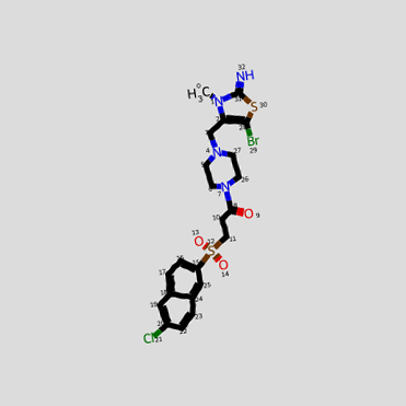 Cn1c(CN2CCN(C(=O)CCS(=O)(=O)c3ccc4cc(Cl)ccc4c3)CC2)c(Br)sc1=N